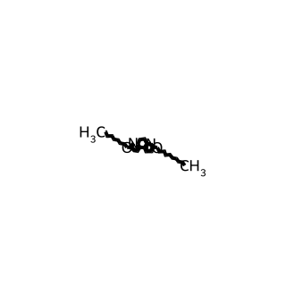 CCCCCCCCCOc1ccc2c(n1)CCc1nc(OCCCCCCCC)ccc1-2